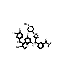 CN(C)C(=O)c1cccc([C@H](Nc2cc(Cl)cc3c(Nc4ccc(F)c(Cl)c4)c(C#N)cnc23)c2cn(C3CCN(C(C)(C)C)CC3)nn2)c1